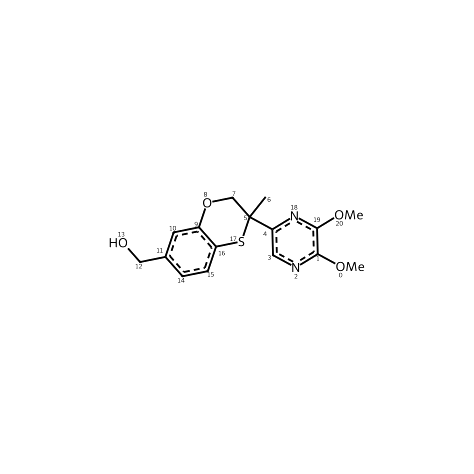 COc1ncc(C2(C)COc3cc(CO)ccc3S2)nc1OC